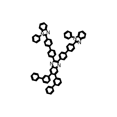 c1ccc(-c2cccc(-c3cc4nc(-c5ccc(-c6ccc(-c7nc8ccccc8n7-c7ccccc7)cc6)cc5)c(-c5ccc(-c6ccc(-c7nc8ccccc8n7-c7ccccc7)cc6)cc5)nc4cc3-c3cccc(-c4ccccc4)c3)c2)cc1